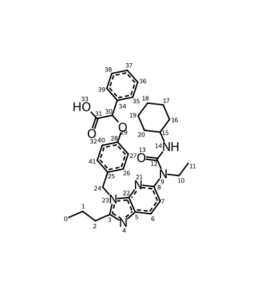 CCCc1nc2ccc(N(CC)C(=O)NC3CCCCC3)nc2n1Cc1ccc(OC(C(=O)O)c2ccccc2)cc1